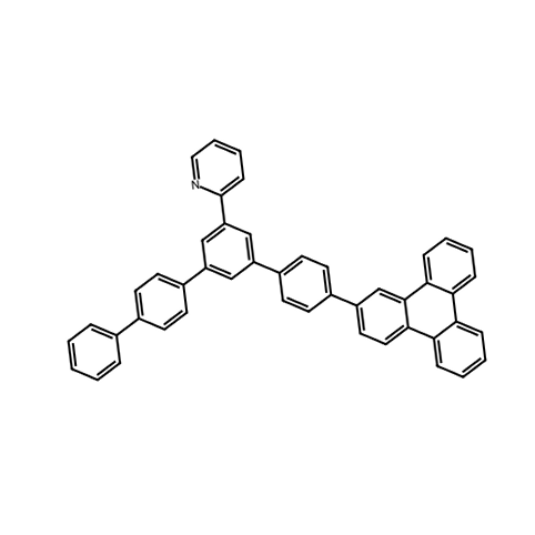 c1ccc(-c2ccc(-c3cc(-c4ccc(-c5ccc6c7ccccc7c7ccccc7c6c5)cc4)cc(-c4ccccn4)c3)cc2)cc1